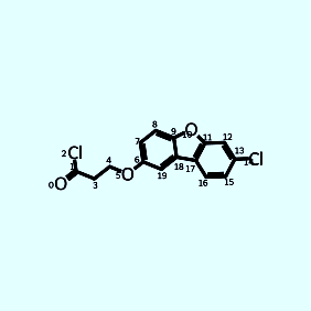 O=C(Cl)CCOc1ccc2oc3cc(Cl)ccc3c2c1